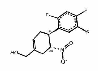 O=[N+]([O-])[C@@H]1CC(CO)=CC[C@H]1c1cc(F)c(F)cc1F